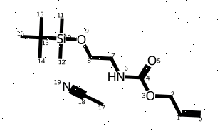 C=CCOC(=O)NCCO[Si](C)(C)C(C)(C)C.CC#N